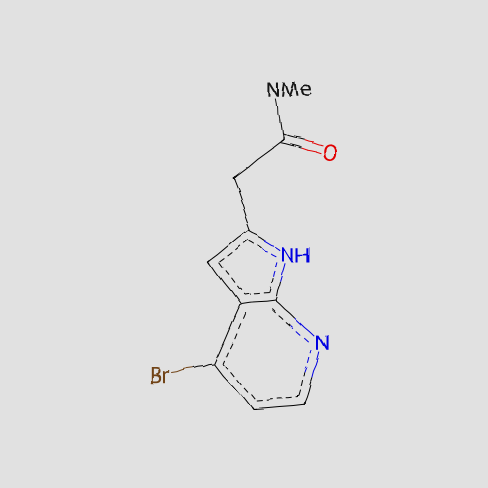 CNC(=O)Cc1cc2c(Br)ccnc2[nH]1